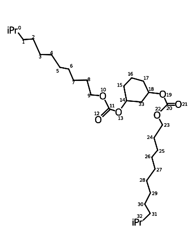 CC(C)CCCCCCCCCOC(=O)OC1CCCC(OC(=O)OCCCCCCCCCC(C)C)C1